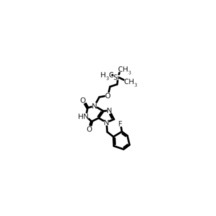 C[Si](C)(C)CCOCn1c(=O)[nH]c(=O)c2c1ncn2Cc1ccccc1F